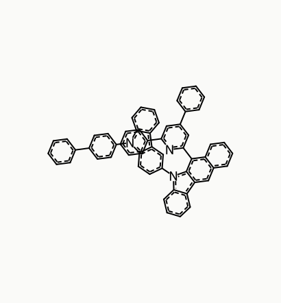 c1ccc(-c2ccc(-n3c4ccccc4c4cc(-n5c6ccccc6c6cc7ccccc7c(-c7cc(-c8ccccc8)cc(-c8ccccc8)n7)c65)ccc43)cc2)cc1